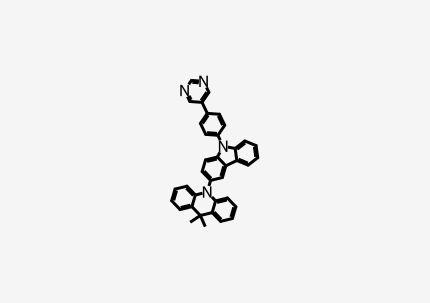 CC1(C)c2ccccc2N(c2ccc3c(c2)c2ccccc2n3-c2ccc(-c3cncnc3)cc2)c2ccccc21